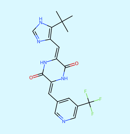 CC(C)(C)c1[nH]cnc1/C=c1\[nH]c(=O)/c(=C/c2cncc(C(F)(F)F)c2)[nH]c1=O